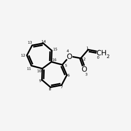 C=CC(=O)OC1=CC=CC=C2C=CC=CC=C21